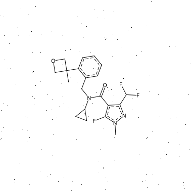 Cn1nc(C(F)F)c(C(=O)N(Cc2ccccc2C2(C)COC2)C2CC2)c1F